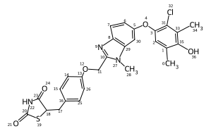 Cc1cc(Oc2ccc3nc(COc4ccc(CC5SC(=O)NC5=O)cc4)n(C)c3c2)c(Cl)c(C)c1O